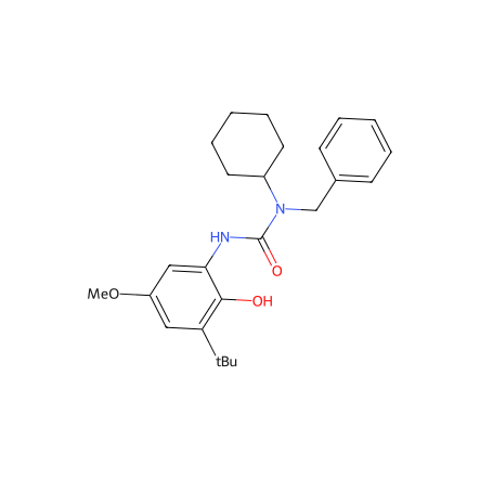 COc1cc(NC(=O)N(Cc2ccccc2)C2CCCCC2)c(O)c(C(C)(C)C)c1